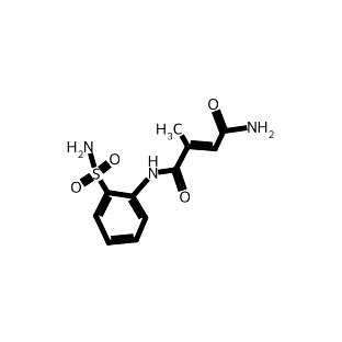 C/C(=C\C(N)=O)C(=O)Nc1ccccc1S(N)(=O)=O